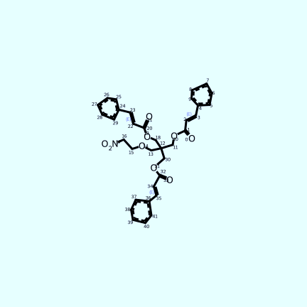 O=C(/C=C/c1ccccc1)OCC(COCC[N+](=O)[O-])(COC(=O)/C=C/c1ccccc1)COC(=O)/C=C/c1ccccc1